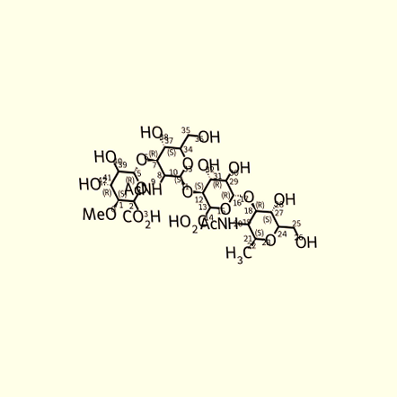 CO[C@@H]1C(C(=O)O)O[C@@H](O[C@@H]2C(NC(C)=O)[C@H](O[C@@H]3C(C(=O)O)O[C@@H](O[C@@H]4C(NC(C)=O)[C@H](C)OC(CO)[C@H]4O)C(O)[C@H]3O)OC(CO)[C@H]2O)C(O)[C@H]1O